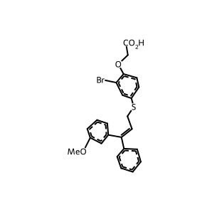 COc1cccc(/C(=C\CSc2ccc(OCC(=O)O)c(Br)c2)c2ccccc2)c1